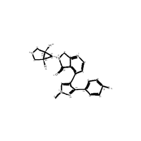 Cn1cc(-c2ccnc3c2C(=O)N([C@@H]2[C@@H]4COC[C@@H]42)C3)c(-c2ccc(F)cc2)n1